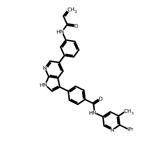 C=CC(=O)Nc1cccc(-c2cnc3[nH]cc(-c4ccc(C(=O)Nc5cnc(C(C)C)c(C)c5)cc4)c3c2)c1